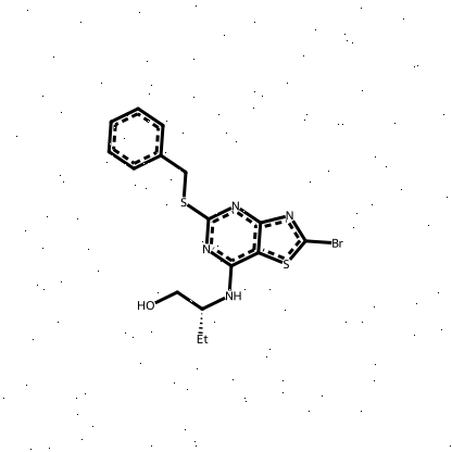 CC[C@H](CO)Nc1nc(SCc2ccccc2)nc2nc(Br)sc12